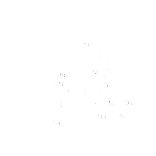 CCCCCC1C(c2ccc3c(c2)N(C(=O)Oc2cccc(Cl)c2)C[C@H](C)N3C(C)=O)CNN1C1CC1